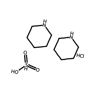 C1CCNCC1.C1CCNCC1.Cl.O=[SH](=O)O